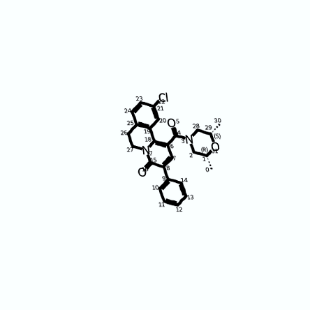 C[C@@H]1CN(C(=O)c2cc(-c3ccccc3)c(=O)n3c2-c2cc(Cl)ccc2CC3)C[C@H](C)O1